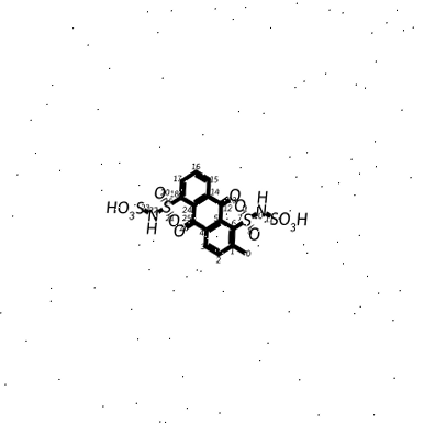 Cc1ccc2c(c1S(=O)(=O)NS(=O)(=O)O)C(=O)c1cccc(S(=O)(=O)NS(=O)(=O)O)c1C2=O